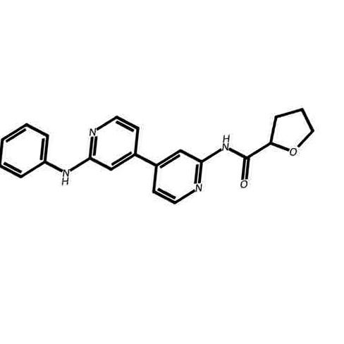 O=C(Nc1cc(-c2ccnc(Nc3ccccc3)c2)ccn1)C1CCCO1